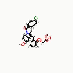 COc1ccc2c(c1)c(Cc1ccccc1OCC(=O)O)c(C)n2C(=O)c1ccc(Cl)cc1